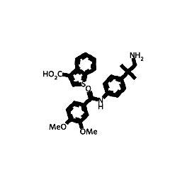 COc1ccc(C(=O)Nc2ccc(C(C)(C)CN)cc2)cc1OC.O=C(O)c1csc2ccccc12